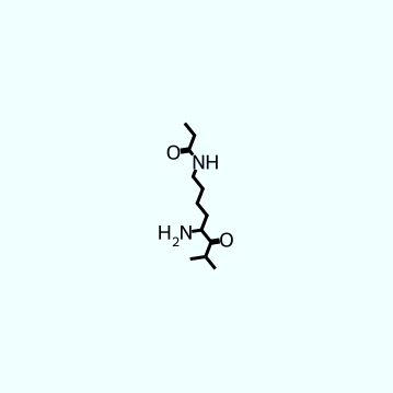 CCC(=O)NCCCCC(N)C(=O)C(C)C